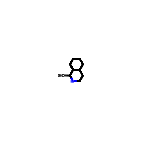 O=CC1NCCC2CCCCC21